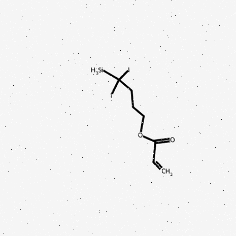 C=CC(=O)OCCCC([SiH3])(I)I